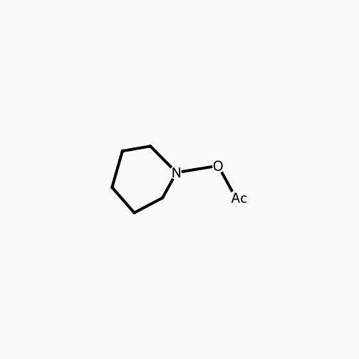 [CH2]C(=O)ON1CCCCC1